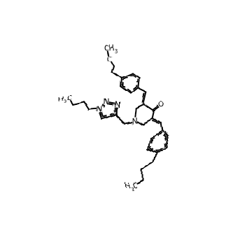 CCCCc1ccc(C=C2CN(Cc3cn(CCCC)nn3)CC(=Cc3ccc(CCCC)cc3)C2=O)cc1